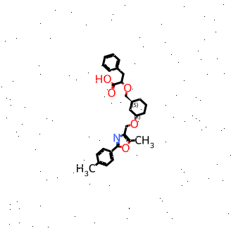 Cc1ccc(-c2nc(CO[C@@H]3CCC[C@H](COC(Cc4ccccc4)C(=O)O)C3)c(C)o2)cc1